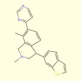 Cc1c(-c2ccncn2)ccc2c1CN(C)CC2c1ccc2ccsc2c1